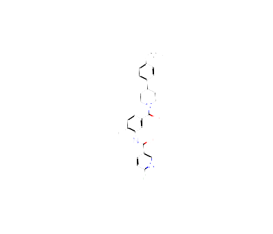 COc1ccc(C2CCN(C(=O)c3ccc(C(F)(F)F)c(NC(=O)c4ccc(Cl)nc4)c3)CC2)cc1